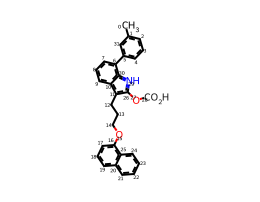 Cc1cccc(-c2cccc3c(CCCOc4cccc5ccccc45)c(OC(=O)O)[nH]c23)c1